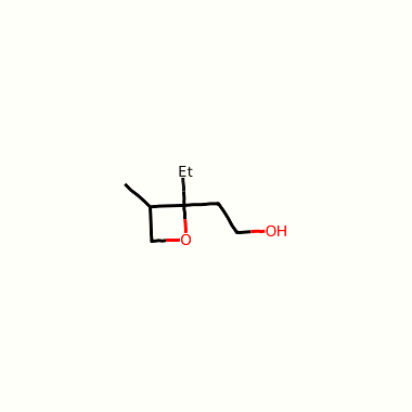 CCC1(CCO)OCC1C